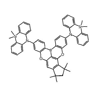 CC1(C)CC(C)(C)c2c1cc1c3c2Oc2cc(N4c5ccccc5[Si](C)(C)c5ccccc54)ccc2B3c2ccc(N3c4ccccc4[Si](C)(C)c4ccccc43)cc2O1